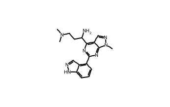 CN(C)CCC(N)c1nc(-c2cccc3[nH]ncc23)nc2c1cnn2C